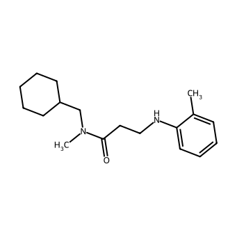 Cc1ccccc1NCCC(=O)N(C)CC1CCCCC1